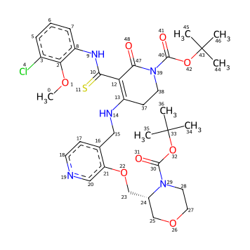 COc1c(Cl)cccc1NC(=S)C1=C(NCc2ccncc2OC[C@H]2COCCN2C(=O)OC(C)(C)C)CCN(C(=O)OC(C)(C)C)C1=O